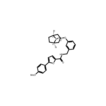 COc1ccc(-c2ccc(C(=O)NCc3cccc(O[C@H]4C[C@H]5CC[C@@H](C4)N5C)c3)o2)cc1